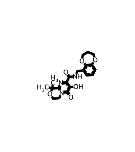 CC1(C)OCCn2c1nc(C(=O)NCc1cccc3c1OCCCO3)c(O)c2=O